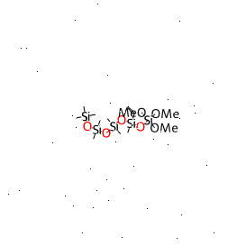 C=C[Si](C)(O[Si](C)(C)O[Si](C)(C)O[Si](C)(C)C)O[Si](OC)(OC)OC